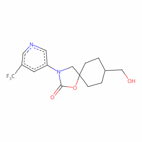 O=C1OC2(CCC(CO)CC2)CN1c1cncc(C(F)(F)F)c1